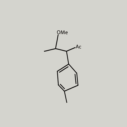 COC(C)C(C(C)=O)c1ccc(C)cc1